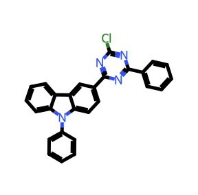 Clc1nc(-c2ccccc2)nc(-c2ccc3c(c2)c2ccccc2n3-c2ccccc2)n1